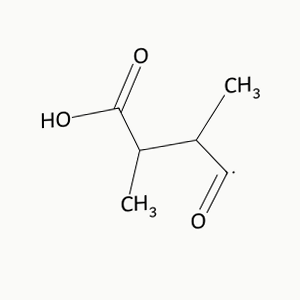 CC([C]=O)C(C)C(=O)O